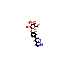 OCC1O[C@H](Oc2ccc(-c3cnc4[nH]ccc4c3)cc2Cl)[C@H](O)C(O)[C@@H]1O